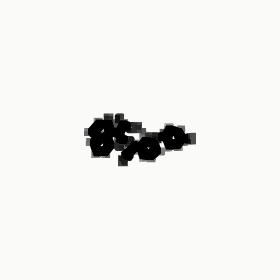 CC(C)C(C(=O)OC(C#N)c1cccc(Nc2ccc(Cl)cc2)c1)c1cccc2ccccc12